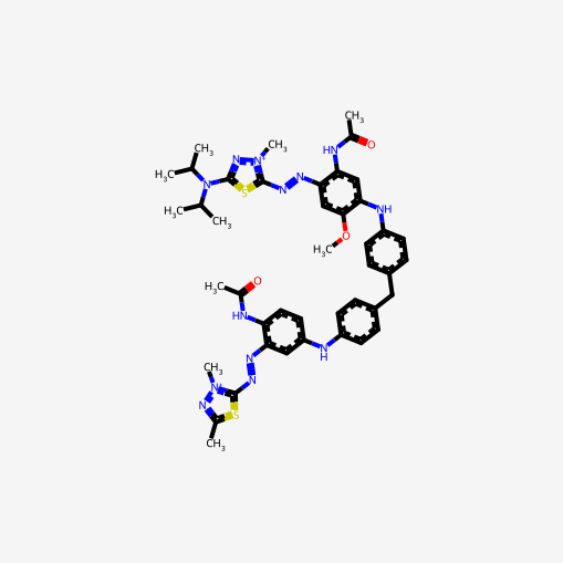 COc1cc(N=Nc2sc(N(C(C)C)C(C)C)n[n+]2C)c(NC(C)=O)cc1Nc1ccc(Cc2ccc(Nc3ccc(NC(C)=O)c(N=Nc4sc(C)n[n+]4C)c3)cc2)cc1